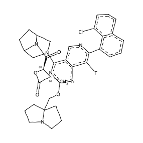 C[C@@H]1C(=O)O[C@H]1C(=O)N1C2CCC1CN(c1nc(OCC34CCCN3CCC4)nc3c(F)c(-c4cccc5cccc(Cl)c45)ncc13)C2